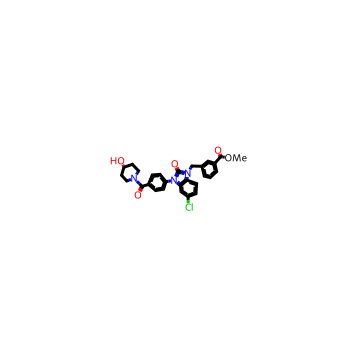 COC(=O)c1cccc(Cn2c(=O)n(-c3ccc(C(=O)N4CCC(O)CC4)cc3)c3cc(Cl)ccc32)c1